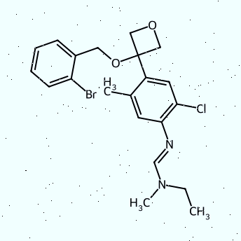 CCN(C)C=Nc1cc(C)c(C2(OCc3ccccc3Br)COC2)cc1Cl